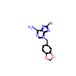 CC(C)c1nc2c(N)ncn(Cc3ccc4c(c3)OCO4)c-2n1